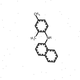 Cc1ccc(Nc2cccc3ccccc23)c(C)c1